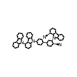 N#Cc1ccc(-c2ccc(-n3c4ccccc4c4c(-n5c6ccccc6c6ccccc65)cccc43)cc2)cc1-n1c2ccccc2c2cccc(C#N)c21